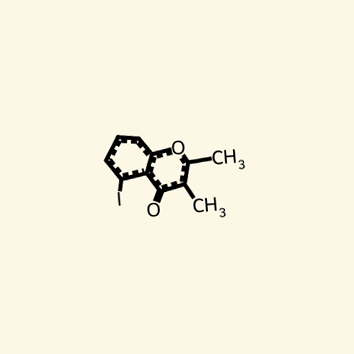 Cc1oc2cccc(I)c2c(=O)c1C